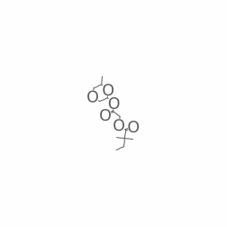 CCC(C)(C)C(=O)OCC(=O)OC1COCC(C)O1